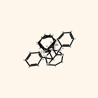 O=P1(O)ON2CCN(O1)C(c1ccccc1)(c1ccccc1)C2(c1ccccc1)c1ccccc1